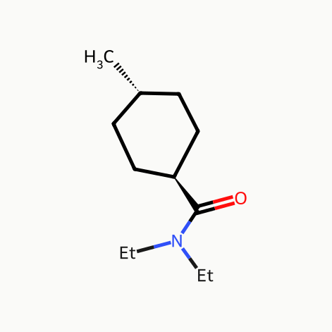 CCN(CC)C(=O)[C@H]1CC[C@H](C)CC1